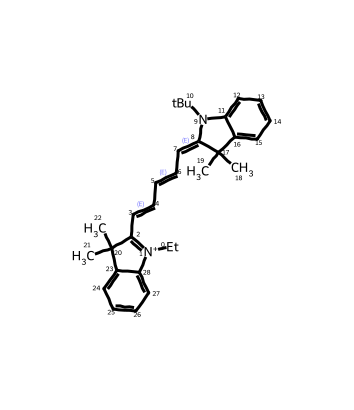 CC[N+]1=C(/C=C/C=C/C=C2/N(C(C)(C)C)c3ccccc3C2(C)C)C(C)(C)c2ccccc21